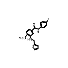 COc1ccc(C(=O)Nc2ccc(F)cc2)cc1NCc1cccs1